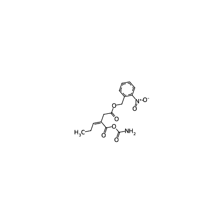 CCC=C(CC(=O)OCc1ccccc1[N+](=O)[O-])C(=O)OC(N)=O